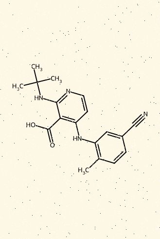 Cc1ccc(C#N)cc1Nc1ccnc(NC(C)(C)C)c1C(=O)O